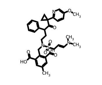 COc1ccc(C2(C(=O)C(CCN(Cc3c(C(=O)O)cc(C)cc3C(=O)O)S(=O)(=O)CC=CN(C)C)c3ccccc3)CC2)nc1